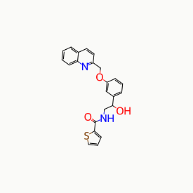 O=C(NCC(O)c1cccc(OCc2ccc3ccccc3n2)c1)c1cccs1